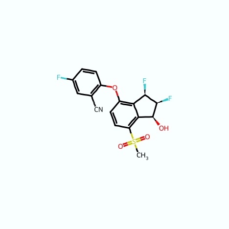 CS(=O)(=O)c1ccc(Oc2ccc(F)cc2C#N)c2c1[C@H](O)[C@H](F)[C@@H]2F